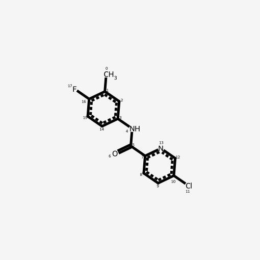 Cc1cc(NC(=O)c2ccc(Cl)cn2)ccc1F